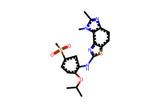 Cc1nc2ccc3sc(Nc4cc(S(C)(=O)=O)ccc4OC(C)C)nc3c2n1C